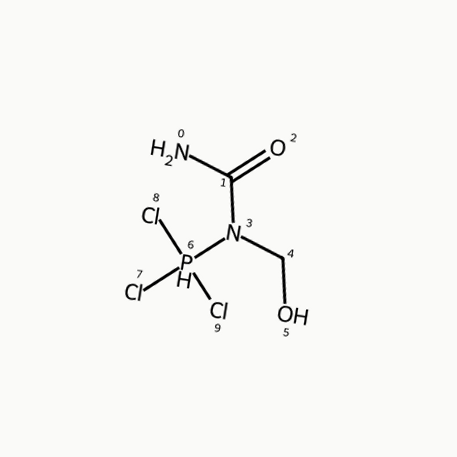 NC(=O)N(CO)[PH](Cl)(Cl)Cl